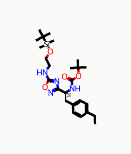 CCc1ccc(C[C@H](NC(=O)OC(C)(C)C)c2noc(NCCO[Si](C)(C)C(C)(C)C)n2)cc1